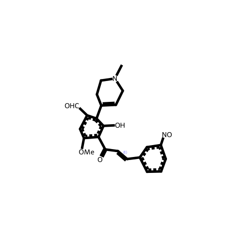 COc1cc(C=O)c(C2=CCN(C)CC2)c(O)c1C(=O)/C=C/c1cccc(N=O)c1